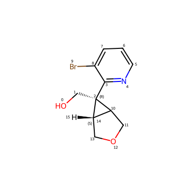 OC[C@]1(c2ncccc2Br)C2COC[C@@H]21